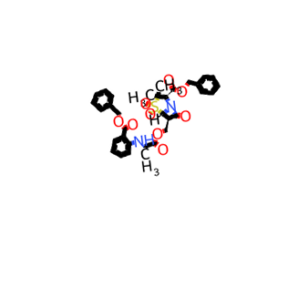 CC(Nc1ccccc1C(=O)OCc1ccccc1)C(=O)OC[C@@H]1C(=O)N2[C@@H](C(=O)OCc3ccccc3)C(C)(C)S(=O)(=O)[C@H]12